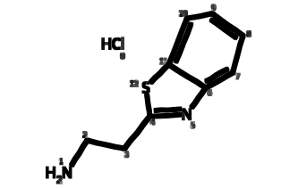 Cl.NCCc1nc2ccccc2s1